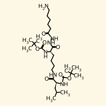 CC(C)C[C@H](NC(=O)OC(C)(C)C)C(=O)NCCCC[C@@H](NC(=O)OC(C)(C)C)C(=O)NNC(=O)CCCCCN